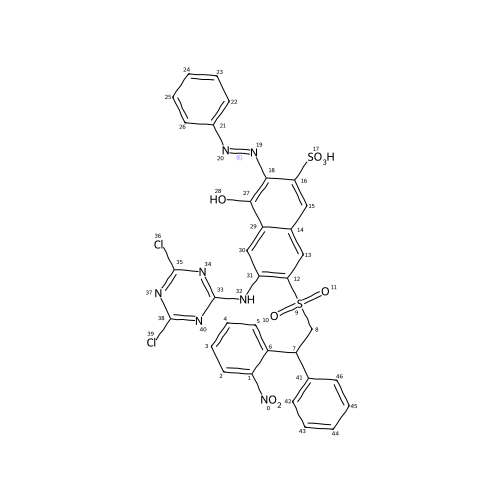 O=[N+]([O-])c1ccccc1C(CS(=O)(=O)c1cc2cc(S(=O)(=O)O)c(/N=N/c3ccccc3)c(O)c2cc1Nc1nc(Cl)nc(Cl)n1)c1ccccc1